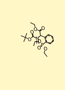 CCOC(=O)C(NC(=O)OC(C)(C)C)c1ccccc1P(=O)(OCC)OCC